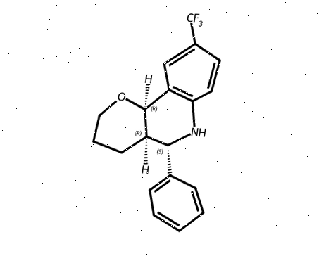 FC(F)(F)c1ccc2c(c1)[C@@H]1OCCC[C@@H]1[C@@H](c1ccccc1)N2